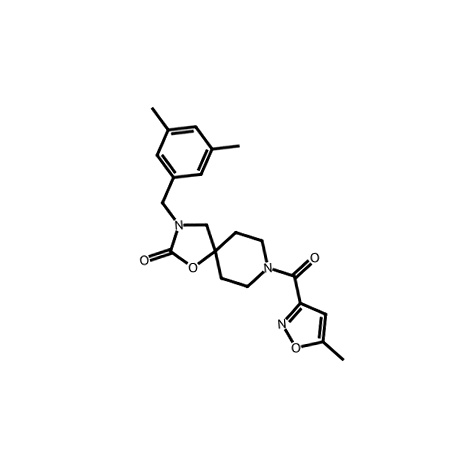 Cc1cc(C)cc(CN2CC3(CCN(C(=O)c4cc(C)on4)CC3)OC2=O)c1